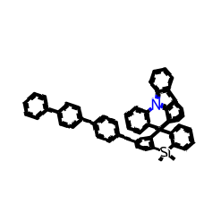 C[Si]1(C)c2ccccc2C2(c3ccccc3-n3c4ccccc4c4cccc2c43)c2cc(-c3ccc(-c4ccc(-c5ccccc5)cc4)cc3)ccc21